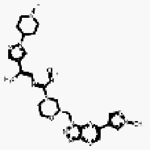 C=N/C(=N\C=C(/C)c1cnn(C2CCN(CC)CC2)c1)N1CCO[C@H](Cn2nnc3ncc(-c4cnn(C)c4)nc32)C1